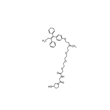 CC/C(=C(\C1=CCCC=C1)c1ccc(OCCN(C)CCOCCOCCOCC(=O)NCC(=O)N2CC[C@@H](O)C2)cc1)c1ccccc1